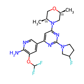 C[C@H]1CN(c2cc(-c3cnc(N)c(OC(F)F)c3)nc(N3CCC(F)C3)n2)[C@@H](C)CO1